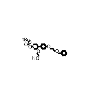 CC(C)(C)OC(=O)ON1CCC(c2ccc(OCCCOCc3ccccc3)cc2)C(OCCO)C1